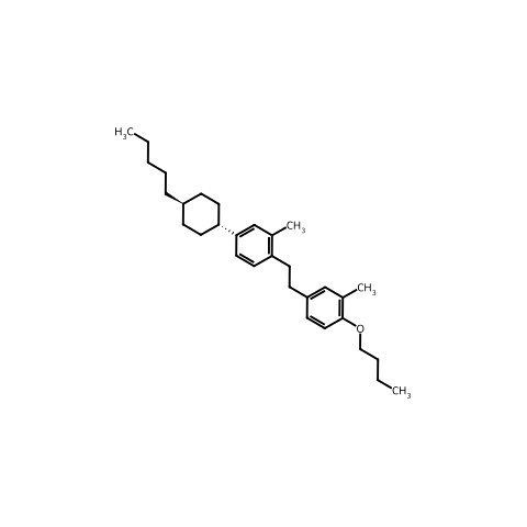 CCCCC[C@H]1CC[C@H](c2ccc(CCc3ccc(OCCCC)c(C)c3)c(C)c2)CC1